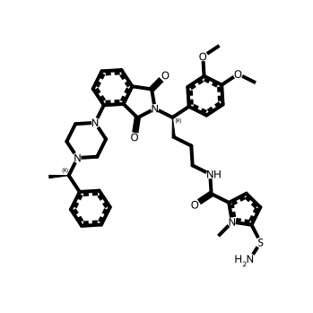 COc1ccc([C@@H](CCCNC(=O)c2ccc(SN)n2C)N2C(=O)c3cccc(N4CCN([C@H](C)c5ccccc5)CC4)c3C2=O)cc1OC